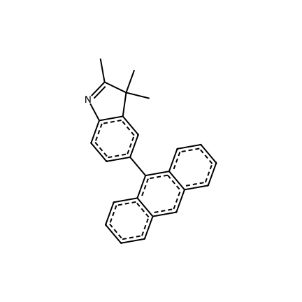 CC1=Nc2ccc(-c3c4ccccc4cc4ccccc34)cc2C1(C)C